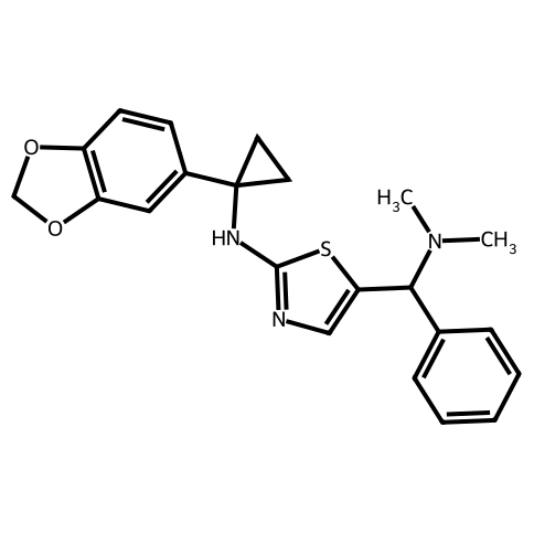 CN(C)C(c1ccccc1)c1cnc(NC2(c3ccc4c(c3)OCO4)CC2)s1